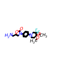 COC1(OC)CCN(c2ccc(N3CC(CN)OC3=O)cc2)CC1(F)F